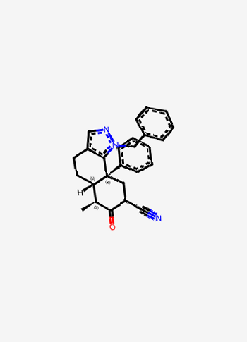 C[C@@H]1C(=O)C(C#N)C[C@@]2(c3ccccc3)c3c(cnn3Cc3ccccc3)CC[C@@H]12